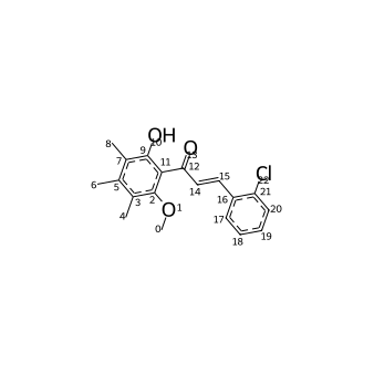 COc1c(C)c(C)c(C)c(O)c1C(=O)/C=C/c1ccccc1Cl